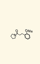 COc1ccccc1CCC(=O)N1CCCC1